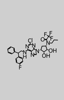 CCCN(C(=O)C(F)(F)F)[C@H]1C[C@@H](n2cnc3c(NCC(c4ccccc4)c4ccc(F)cc4)nc(Cl)nc32)[C@H](O)[C@@H]1O